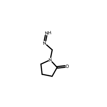 N=NCN1CCCC1=O